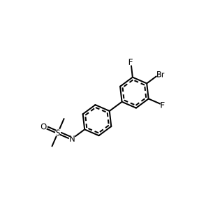 CS(C)(=O)=Nc1ccc(-c2cc(F)c(Br)c(F)c2)cc1